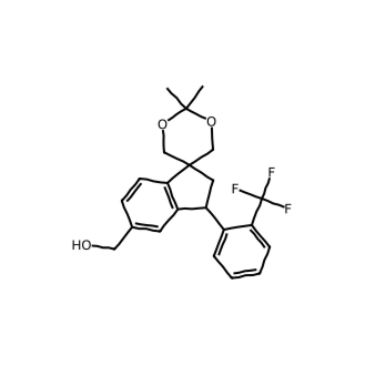 CC1(C)OCC2(CO1)CC(c1ccccc1C(F)(F)F)c1cc(CO)ccc12